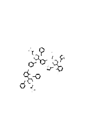 CN(C)C(=O)CN1C[C@H](C(=O)c2ccccc2)C(c2cccc(I)c2)[C@@H](C(=O)c2ccccc2)C1.COCCN1C[C@H](C(=O)c2cc[nH]n2)C(c2cccc(F)c2C)[C@@H](C(=O)c2cc[nH]n2)C1.Cc1c(CO)cccc1C1[C@@H](C(=O)c2ccccc2)CN(CC(=O)N(C)C)C[C@@H]1C(=O)c1ccccc1